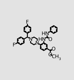 COC(=O)c1ccc(N2CCN(C(c3ccc(F)cc3)c3ccc(F)cc3)CC2)c(NC(=O)Nc2ccccc2)c1